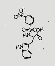 O=C(O)[C@@H](Cc1c[nH]c2ccccc12)NS(=O)(=O)c1cccc([N+](=O)[O-])c1